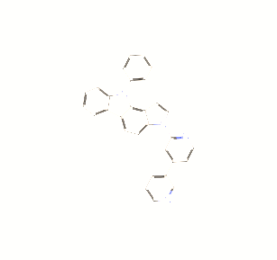 c1ccc(-n2c3ccccc3c3ccc4c(ccn4-c4cc(-c5cccnc5)ccn4)c32)cc1